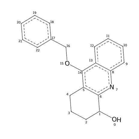 OC1CCCc2c1nc1ccccc1c2OCc1ccccc1